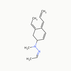 C=C/C=C1/C=CC(N(C)/N=C\C)C/C1=C/C